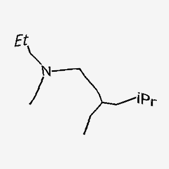 CCN(C)CC(C)C(C)C